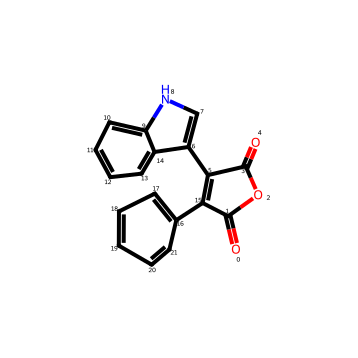 O=C1OC(=O)C(c2c[nH]c3ccccc23)=C1c1ccccc1